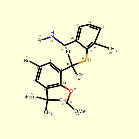 CCCC(C)C(C)(C)c1cc(C(C)(C)C)cc(C(CC)(CCC)Pc2c(C)cccc2CNC(C)C)c1OCOC